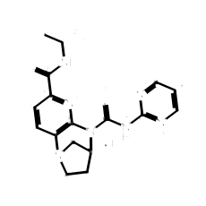 C[C@@H](NC(=O)c1ccc2c(n1)N(C(=O)Nc1ncccn1)[C@H]1CCN2C1)C(F)(F)F